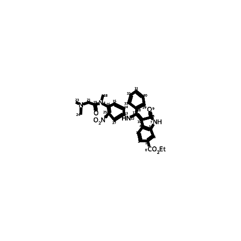 CCOC(=O)c1ccc2c(c1)NC(=O)C2=C(Nc1ccc(N(C)C(=O)CN(C)C)c([N+](=O)[O-])c1)c1ccccc1